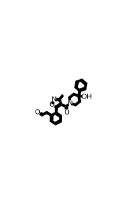 Cc1noc(-c2ccccc2CC=O)c1C(=O)N1CCC(O)(c2ccccc2)CC1